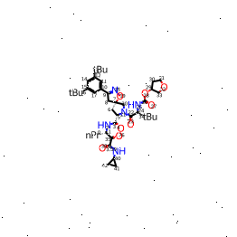 CCC[C@H](NC(=O)[C@@H]1C[C@@]2(CC(c3cc(C(C)(C)C)cc(C(C)(C)C)c3)=NO2)CN1C(=O)[C@@H](NC(=O)O[C@H]1CCOC1)C(C)(C)C)C(=O)C(=O)NC1CC1